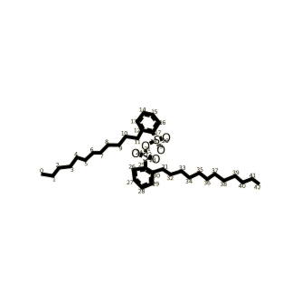 CCCCCCCCCCCCc1ccccc1S(=O)(=O)OS(=O)(=O)c1ccccc1CCCCCCCCCCCC